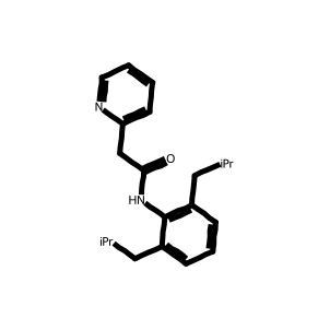 CC(C)Cc1cccc(CC(C)C)c1NC(=O)Cc1ccccn1